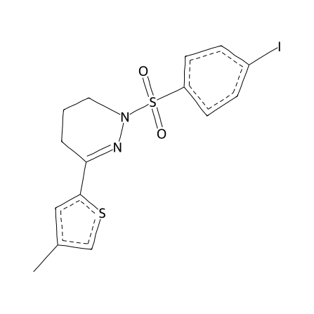 Cc1csc(C2=NN(S(=O)(=O)c3ccc(I)cc3)CCC2)c1